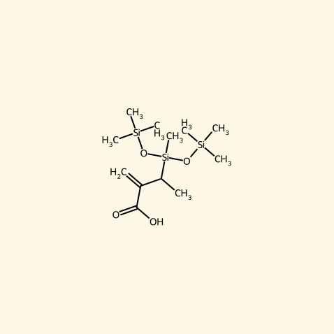 C=C(C(=O)O)C(C)[Si](C)(O[Si](C)(C)C)O[Si](C)(C)C